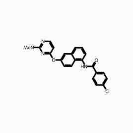 CNc1nccc(Oc2ccc3c(NC(=O)c4ccc(Cl)cc4)cccc3c2)n1